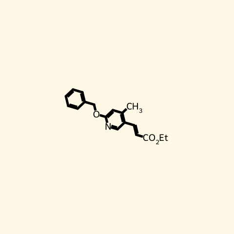 CCOC(=O)C=Cc1cnc(OCc2ccccc2)cc1C